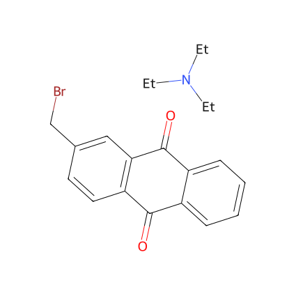 CCN(CC)CC.O=C1c2ccccc2C(=O)c2cc(CBr)ccc21